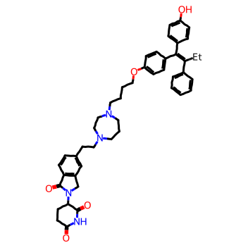 CCC(=C(c1ccc(O)cc1)c1ccc(OCCCCN2CCCN(CCc3ccc4c(c3)CN(C3CCC(=O)NC3=O)C4=O)CC2)cc1)c1ccccc1